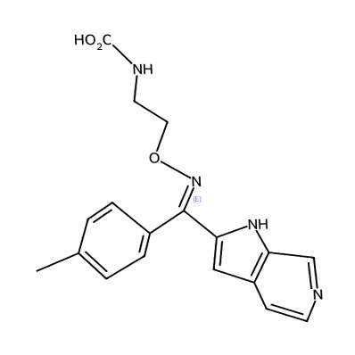 Cc1ccc(/C(=N\OCCNC(=O)O)c2cc3ccncc3[nH]2)cc1